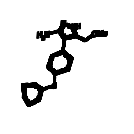 COCc1[nH]nc(N)c1-c1ccc(Sc2ccccc2)cc1